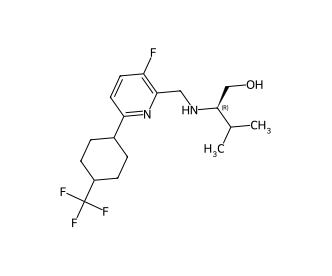 CC(C)[C@H](CO)NCc1nc(C2CCC(C(F)(F)F)CC2)ccc1F